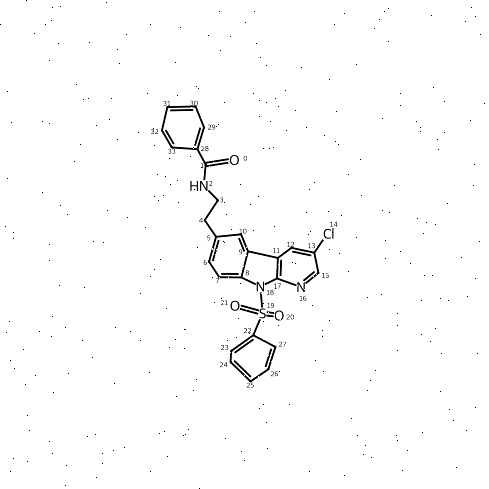 O=C(NCCc1ccc2c(c1)c1cc(Cl)cnc1n2S(=O)(=O)c1ccccc1)c1ccccc1